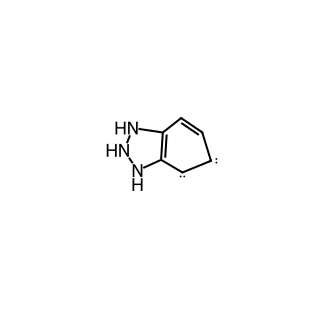 [C]1[C]C2=C(C=C1)NNN2